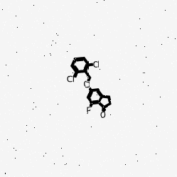 O=C1CCc2cc(OCc3c(Cl)cccc3Cl)cc(F)c21